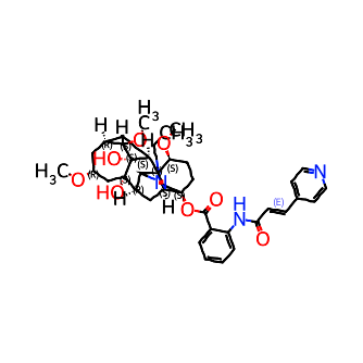 CCN1C[C@]2(OC(=O)c3ccccc3NC(=O)/C=C/c3ccncc3)CC[C@H](OC)[C@]34C1[C@@H](C[C@H]23)[C@@]1(O)C[C@H](OC)C[C@H]2C[C@@H]4[C@]1(O)[C@H]2OC